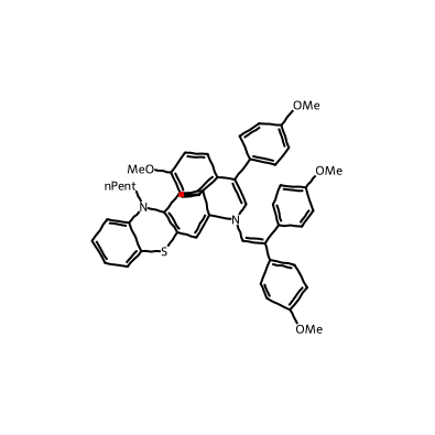 CCCCCN1c2ccccc2Sc2cc(N(C=C(c3ccc(OC)cc3)c3ccc(OC)cc3)C=C(c3ccc(OC)cc3)c3ccc(OC)cc3)ccc21